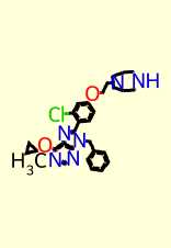 CC1(Oc2ncnc3c2nc(-c2ccc(OCCN4C5CCC4CNC5)cc2Cl)n3Cc2ccccc2)CC1